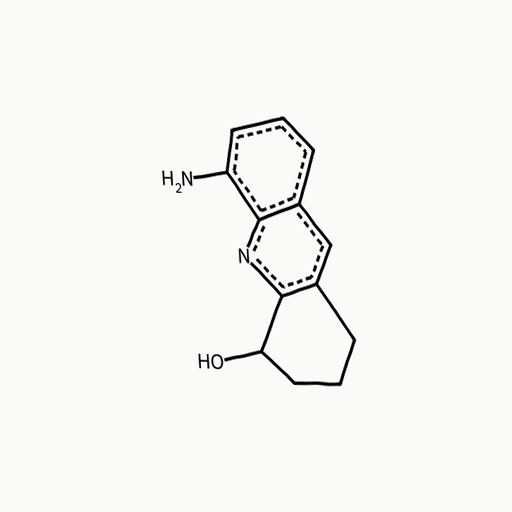 Nc1cccc2cc3c(nc12)C(O)CCC3